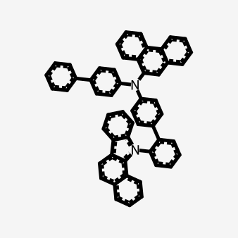 c1ccc(-c2ccc(N(c3ccc(-c4ccccc4-n4c5ccccc5c5ccc6ccccc6c54)cc3)c3cc4ccccc4c4ccccc34)cc2)cc1